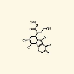 CN1CCn2c(c(Br)c3c(N(CCO)C(=O)OC(C)(C)C)cc(Cl)c(Cl)c32)C1=O